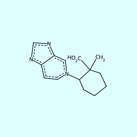 CC1(C(=O)O)CCCCC1n1ccc2ncnc-2c1